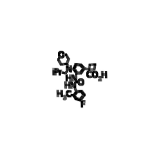 Cc1cc(F)ccc1NC(=O)Nc1cc(C2(C(=O)O)CCC2)ccc1N(CC(C)C)C1CCOCC1